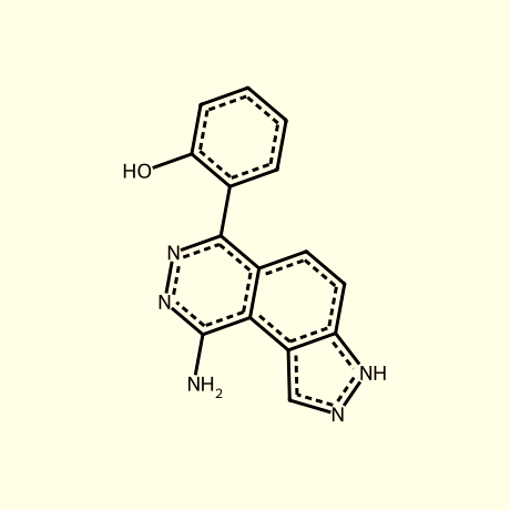 Nc1nnc(-c2ccccc2O)c2ccc3[nH]ncc3c12